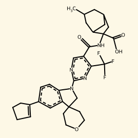 CC1CC2CC(C1)C(NC(=O)c1cnc(N3CC4(CCOCC4)c4cc(C5=CCCC5)ccc43)nc1C(F)(F)F)(C(=O)O)C2